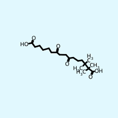 CC(C)(CCCC(=O)CCC(=O)CCCCCC(=O)O)C(C)(C)C(=O)O